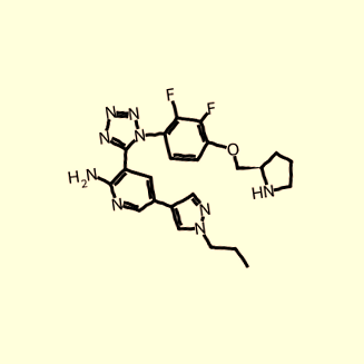 CCCn1cc(-c2cnc(N)c(-c3nnnn3-c3ccc(OC[C@H]4CCCN4)c(F)c3F)c2)cn1